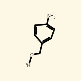 [2H]OCc1ccc(N)cc1